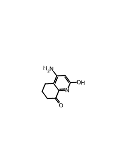 Nc1cc(O)nc2c1CCCC2=O